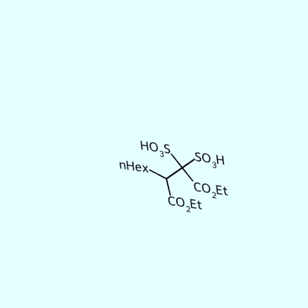 CCCCCCC(C(=O)OCC)C(C(=O)OCC)(S(=O)(=O)O)S(=O)(=O)O